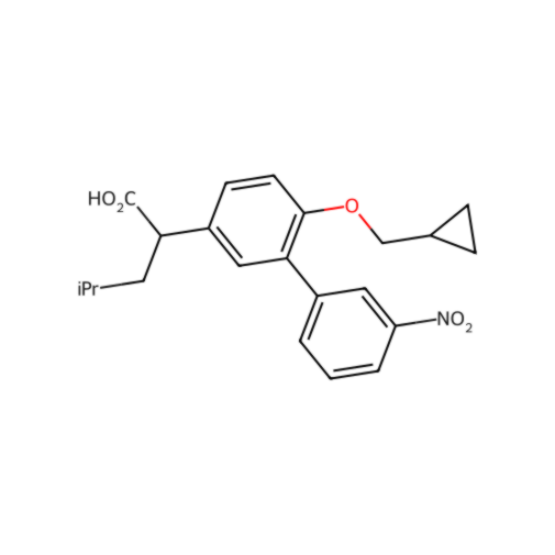 CC(C)CC(C(=O)O)c1ccc(OCC2CC2)c(-c2cccc([N+](=O)[O-])c2)c1